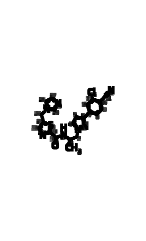 CC(Cn1ccc(-c2ccc(C#N)c(Cl)c2)n1)NC(=O)c1ncc(Cn2ccnc2)s1